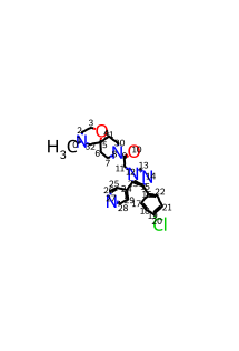 CN1CCOC2(CCN(C(=O)Cn3cnc(-c4ccc(Cl)cc4)c3-c3ccncc3)CC2)C1